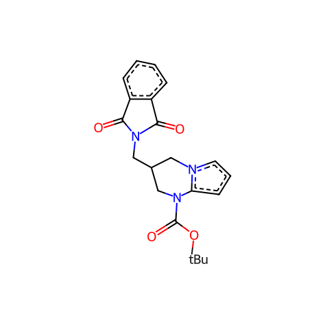 CC(C)(C)OC(=O)N1CC(CN2C(=O)c3ccccc3C2=O)Cn2cccc21